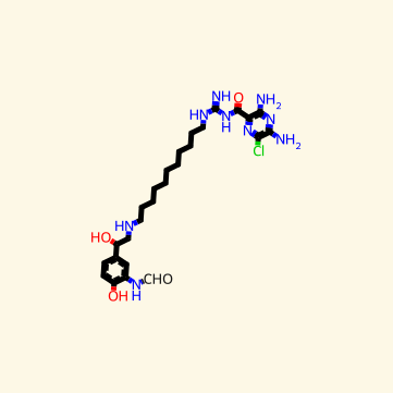 N=C(NCCCCCCCCCCCNCC(O)c1ccc(O)c(NC=O)c1)NC(=O)c1nc(Cl)c(N)nc1N